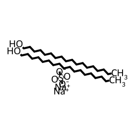 CCCCCCCCCCCCCCCCCCO.CCCCCCCCCCCCCCCCCCO.O=S(=O)([O-])[O-].[Na+].[Na+]